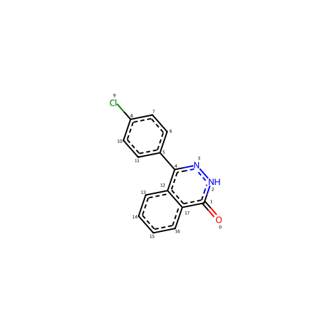 O=c1[nH]nc(-c2ccc(Cl)cc2)c2ccccc12